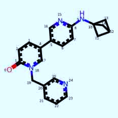 O=c1ccc(-c2ccc(NC34CC(C3)C4)nc2)cn1Cc1cccnc1